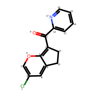 O=C(C1=C2OC=C(Cl)C=C2CC1)c1ccccn1